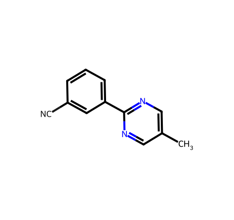 Cc1cnc(-c2cccc(C#N)c2)nc1